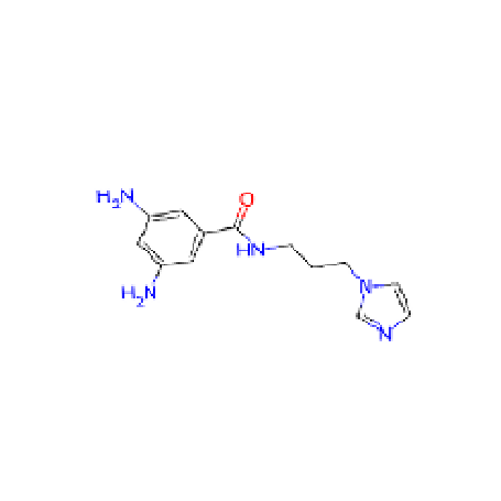 Nc1cc(N)cc(C(=O)NCCCn2ccnc2)c1